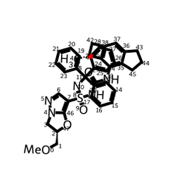 COC[C@H]1Cn2ncc(S(=O)(=NC(c3ccccc3)(c3ccccc3)c3ccccc3)NC(=O)Nc3c4c(cc5c3[C@H](C)C5)CCC4)c2O1